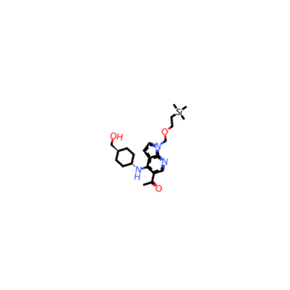 CC(=O)c1cnc2c(ccn2COCC[Si](C)(C)C)c1N[C@H]1CC[C@H](CO)CC1